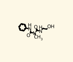 CN(C(=O)NCCO)C(=O)Nc1ccccc1